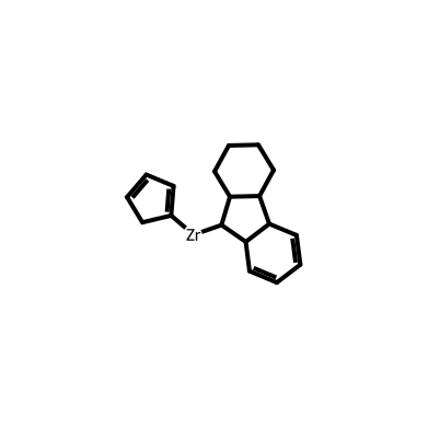 C1=CC[C]([Zr][CH]2C3C=CC=CC3C3CCCCC32)=C1